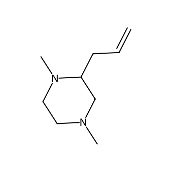 C=CCC1CN(C)CCN1C